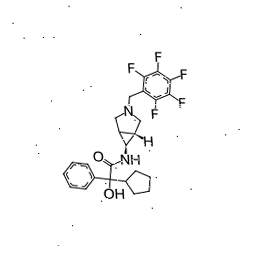 O=C(N[C@H]1C2CN(Cc3c(F)c(F)c(F)c(F)c3F)C[C@@H]21)C(O)(c1ccccc1)C1CCCC1